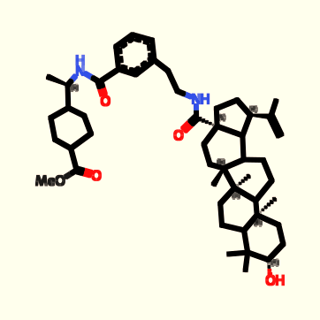 C=C(C)[C@@H]1CC[C@]2(C(=O)NCCc3cccc(C(=O)N[C@H](C)C4CCC(C(=O)OC)CC4)c3)CC[C@]3(C)C(CCC4[C@@]5(C)CC[C@H](O)C(C)(C)C5CC[C@]43C)C12